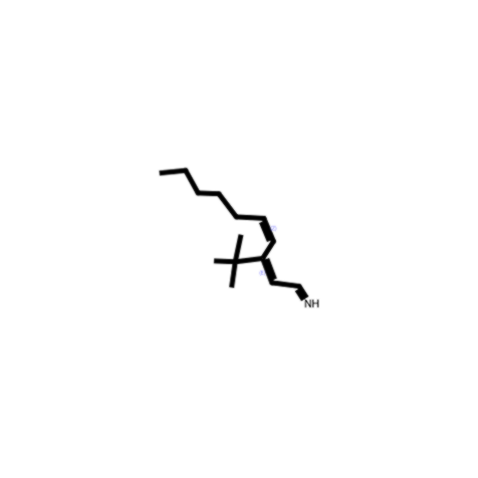 CCCCC/C=C\C(=C/C=N)C(C)(C)C